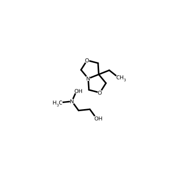 CCC12COCN1COC2.CN(O)CCO